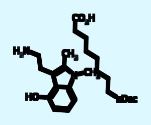 CCCCCCCCCCCCCCCCCC(=O)O.Cc1c(CCN)c2c(O)cccc2n1C